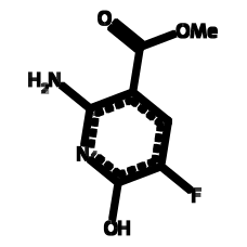 COC(=O)c1cc(F)c(O)nc1N